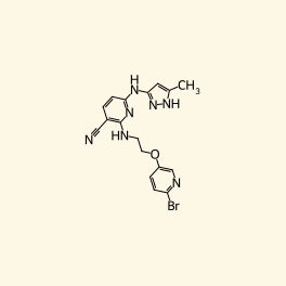 Cc1cc(Nc2ccc(C#N)c(NCCOc3ccc(Br)nc3)n2)n[nH]1